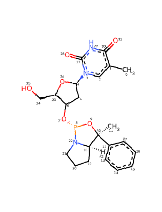 Cc1cn([C@H]2CC(O[P@]3O[C@@](C)(c4ccccc4)[C@H]4CCCN43)[C@@H](CO)O2)c(=O)[nH]c1=O